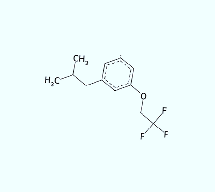 CC(C)Cc1c[c]cc(OCC(F)(F)F)c1